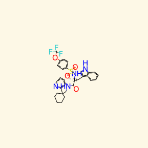 C[C@@](Cc1c[nH]c2ccccc12)(NS(=O)(=O)c1ccc(OC(F)(F)F)cc1)C(=O)NCC1(c2ccccn2)CCCCC1